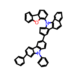 c1ccc(-c2ccc3c4cc(-c5ccc6c(c5)c5ccc7ccccc7c5n6-c5cccc6c5oc5ccccc56)ccc4n(-c4ccccc4)c3c2)cc1